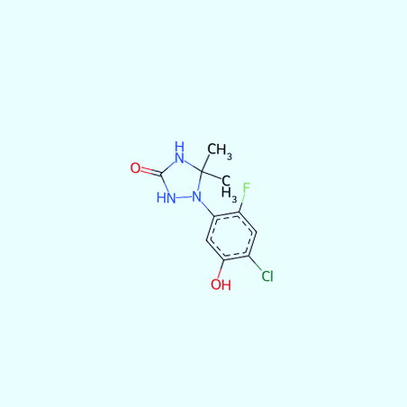 CC1(C)NC(=O)NN1c1cc(O)c(Cl)cc1F